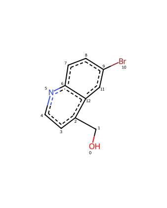 OCc1ccnc2ccc(Br)cc12